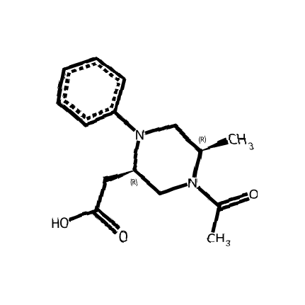 CC(=O)N1C[C@@H](CC(=O)O)N(c2ccccc2)C[C@H]1C